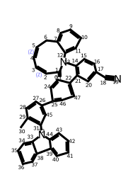 C=C1/C=C\C=C/Cc2ccccc2N1c1ccc(C#N)cc1-c1ccc(-c2ccc(C)c(-n3c4ccccc4c4ccccc43)c2)cc1